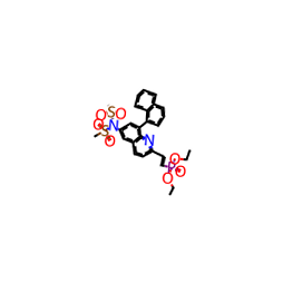 CCOP(=O)(C=Cc1ccc2cc(N(S(C)(=O)=O)S(C)(=O)=O)cc(-c3cccc4ccccc34)c2n1)OCC